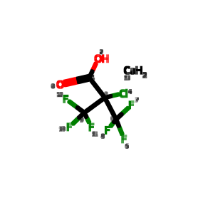 O=C(O)C(Cl)(C(F)(F)F)C(F)(F)F.[CaH2]